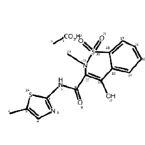 CC(=O)O.Cc1cnc(NC(=O)C2=C(O)c3ccccc3S(=O)(=O)N2C)s1